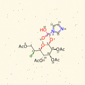 CC(=O)OC[C@H](F)[C@H]1O[C@@H](OP(=O)(O)n2ccnc2)[C@@H](OC(C)=O)[C@@H](OC(C)=O)[C@@H]1OC(C)=O